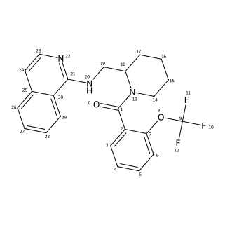 O=C(c1ccccc1OC(F)(F)F)N1CCCCC1CNc1nccc2ccccc12